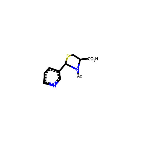 CC(=O)N1C(C(=O)O)CSC1c1cccnc1